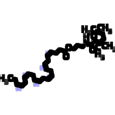 CC/C=C\C/C=C\C/C=C\C/C=C\C/C=C\C/C=C\CCC(=O)OCCCNC(=O)[C@H]1OC(C)(C)CCC1(C)C